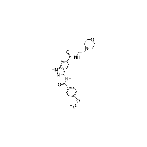 COc1ccc(C(=O)Nc2n[nH]c3sc(C(=O)NCCN4CCOCC4)cc23)cc1